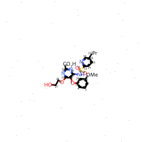 COc1cccc(Oc2c(NS(=O)(=O)c3ccc(C(C)C)cn3)nc(C(=O)O)nc2OCCO)c1